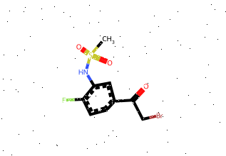 CS(=O)(=O)Nc1cc(C(=O)CBr)ccc1F